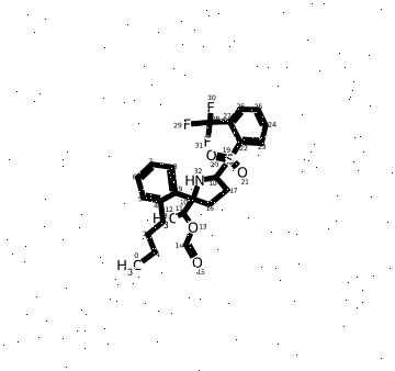 CCCCc1ccccc1C1(C(C)OC=O)CCC(S(=O)(=O)c2ccccc2C(F)(F)F)N1